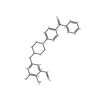 Cc1nc(CC2CCN(c3ccc(C(=O)c4ccccc4)cc3)CC2)nc([C]=O)c1O